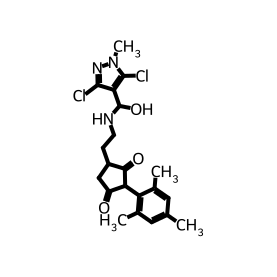 Cc1cc(C)c(C2C(=O)CC(CCNC(O)c3c(Cl)nn(C)c3Cl)C2=O)c(C)c1